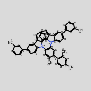 N#Cc1cccc(-c2ccc3c(c2)c2ccccc2n3-c2cc(C#N)c(-c3ccc(C#N)cc3C(F)(F)F)cc2-n2c3ccccc3c3cc(-c4cccc(C#N)c4)ccc32)c1